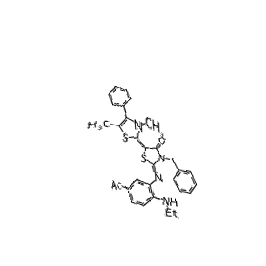 CCNc1ccc(C(C)=O)cc1N=C1SC(=C2SC(C)=C(c3ccccc3)N2C)C(=O)N1Cc1ccccc1